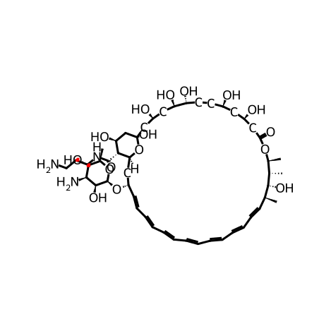 C[C@@H]1[C@H](O)[C@@H](C)/C=C/C=C/C=C/C=C/C=C/C=C/C=C/[C@H](O[C@@H]2O[C@H](C)[C@@H](O)[C@H](N)[C@@H]2O)C[C@@H]2O[C@](O)(C[C@@H](O)C[C@@H](O)[C@H](O)CC[C@@H](O)C[C@@H](O)CC(=O)O[C@H]1C)C[C@H](O)[C@H]2C(=O)NCCCN